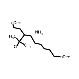 CCCCCCCCCCCCCCCCC(CCCCCCCCCCCC)C(C)(C)Cl.N